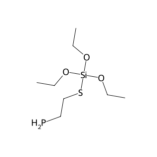 CCO[Si](OCC)(OCC)SCCP